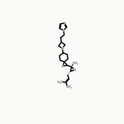 CC(C)=CC[C@H]1O[C@@]1(C)C1OC12CCC(N1CC(CCn3ccnc3)C1)CC2